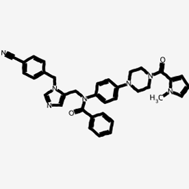 Cn1cccc1C(=O)N1CCN(c2ccc(N(Cc3cncn3Cc3ccc(C#N)cc3)C(=O)c3ccccc3)cc2)CC1